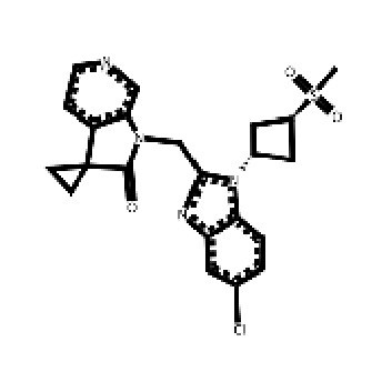 CS(=O)(=O)[C@H]1C[C@H](n2c(CN3C(=O)C4(CC4)c4ccncc43)nc3cc(Cl)ccc32)C1